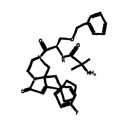 CC(C)(N)C(=O)N[C@H](COCc1ccccc1)C(=O)N1CCN2C(=O)C=C(N3CCCC3)C2(Cc2ccc(F)cc2)C1